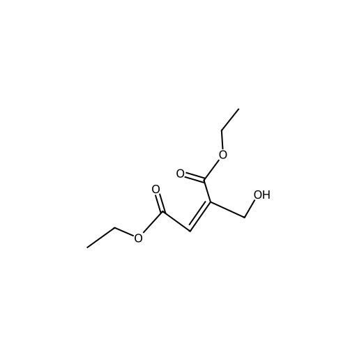 CCOC(=O)C=C(CO)C(=O)OCC